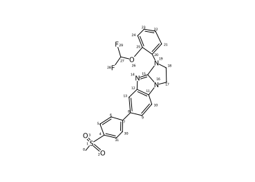 CS(=O)(=O)c1ccc(-c2ccc3c(c2)nc2n3CCN2c2ccccc2OC(F)F)cc1